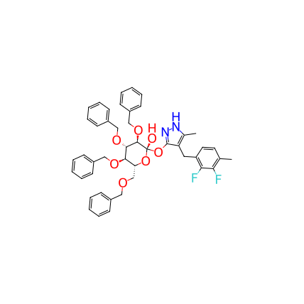 Cc1ccc(Cc2c(O[C@]3(O)O[C@H](COCc4ccccc4)[C@@H](OCc4ccccc4)[C@H](OCc4ccccc4)[C@H]3OCc3ccccc3)n[nH]c2C)c(F)c1F